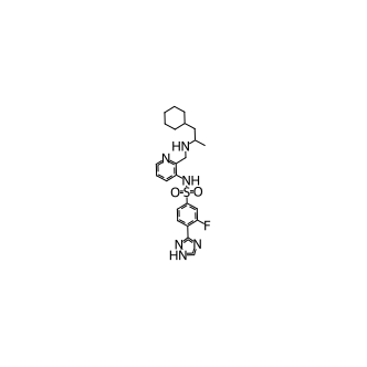 CC(CC1CCCCC1)NCc1ncccc1NS(=O)(=O)c1ccc(-c2nc[nH]n2)c(F)c1